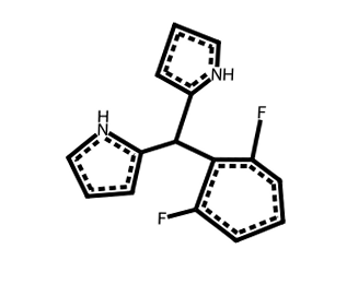 Fc1cccc(F)c1C(c1ccc[nH]1)c1ccc[nH]1